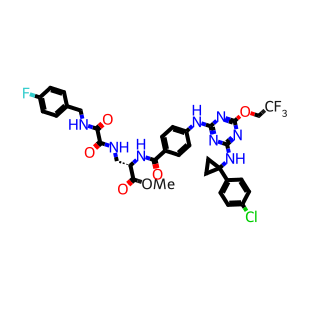 COC(=O)[C@H](CNC(=O)C(=O)NCc1ccc(F)cc1)NC(=O)c1ccc(Nc2nc(NC3(c4ccc(Cl)cc4)CC3)nc(OCC(F)(F)F)n2)cc1